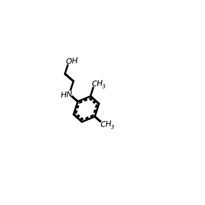 Cc1ccc(NCCO)c(C)c1